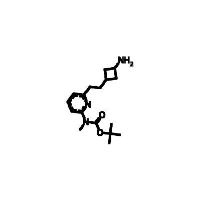 CN(C(=O)OC(C)(C)C)c1cccc(CCC2CC(N)C2)n1